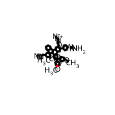 COc1ccc(C2(c3ccc(OC)cc3)C=Cc3c4c(c5cc(OCN=[N+]=[N-])c(-c6ccc(N=NN)cc6)cc5c3O2)-c2ccccc2C42CC(CN=[N+]=[N-])CC(C)(C)C2)cc1